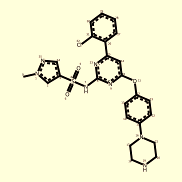 Cn1cc(S(=O)(=O)Nc2nc(Oc3ccc(N4CCNCC4)cc3)cc(-c3ccccc3Cl)n2)cn1